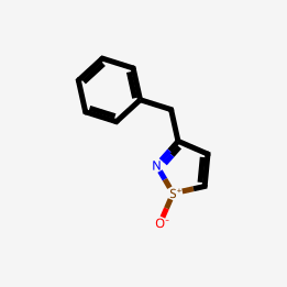 [O-][s+]1ccc(Cc2ccccc2)n1